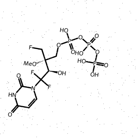 CO[C@](CF)(COP(=O)(O)OP(=O)(O)OP(=O)(O)O)[C@@H](O)C(F)(F)n1ccc(=O)[nH]c1=O